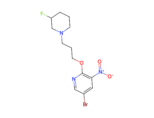 O=[N+]([O-])c1cc(Br)cnc1OCCCN1CCCC(F)C1